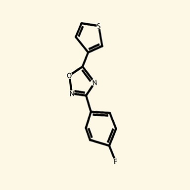 Fc1ccc(-c2noc(-c3ccsc3)n2)cc1